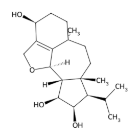 CC(C)[C@H]1[C@@H](O)[C@@H](O)[C@@H]2[C@H]3OCC4=C3[C@@](C)(CC[C@@H]4O)CC[C@@]21C